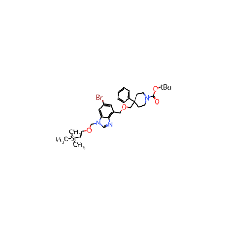 CC(C)(C)OC(=O)N1CCC(COCc2cc(Br)cc3c2ncn3COCC[Si](C)(C)C)(c2ccccc2)CC1